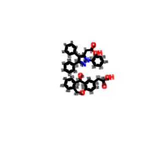 O=C(O)Cc1c(-c2ccccc2)c(-c2ccccc2)nn1-c1ccccc1.O=C(O)Cc1ccc2c(c1)C(=O)c1ccccc1CO2